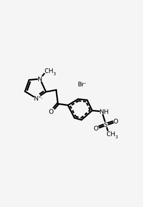 CN1C=C[N+]=C1CC(=O)c1ccc(NS(C)(=O)=O)cc1.[Br-]